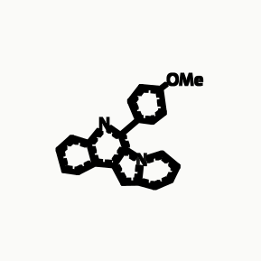 COc1ccc(-c2nc3ccccc3c3cc4ccccn4c23)cc1